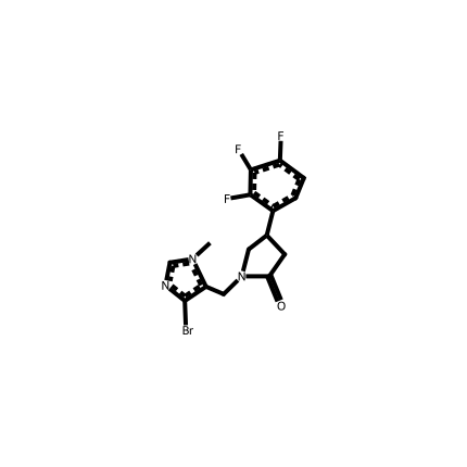 Cn1cnc(Br)c1CN1CC(c2ccc(F)c(F)c2F)CC1=O